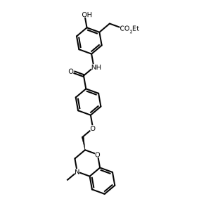 CCOC(=O)Cc1cc(NC(=O)c2ccc(OC[C@@H]3CN(C)c4ccccc4O3)cc2)ccc1O